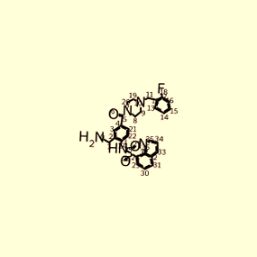 NCc1cc(C(=O)N2CCN(Cc3ccccc3F)CC2)ccc1NS(=O)(=O)c1cccc2cccnc12